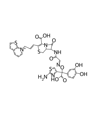 Nc1nc(C(ON=CC(=O)NC2C(=O)N3C(C(=O)O)=C(C=CC[n+]4cccc5ccsc54)SCC23)(C(=O)O)c2ccc(O)c(O)c2)cs1